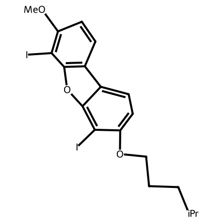 COc1ccc2c(oc3c(I)c(OCCCC(C)C)ccc32)c1I